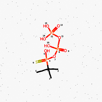 CC(C)(C)P(O)(=S)OP(=O)(O)OP(=O)(O)O